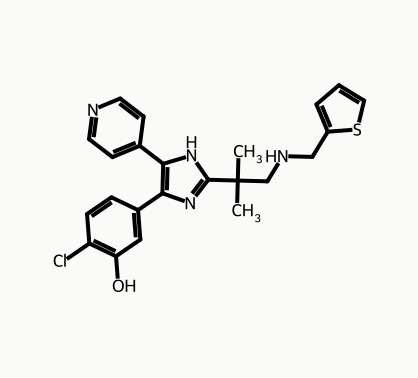 CC(C)(CNCc1cccs1)c1nc(-c2ccc(Cl)c(O)c2)c(-c2ccncc2)[nH]1